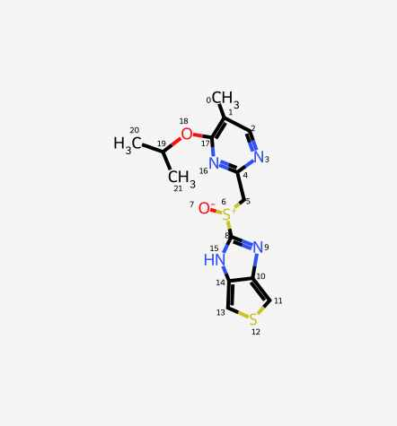 Cc1cnc(C[S+]([O-])c2nc3cscc3[nH]2)nc1OC(C)C